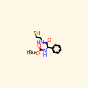 CC(C)(C)OC(=O)N[C@@H](C(=O)NCCS)c1ccccc1